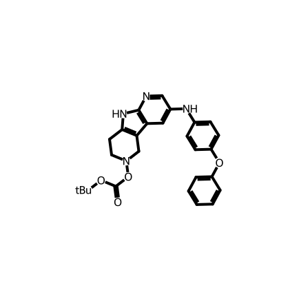 CC(C)(C)OC(=O)ON1CCc2[nH]c3ncc(Nc4ccc(Oc5ccccc5)cc4)cc3c2C1